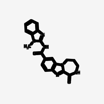 Cn1c(NC(=O)c2ccc3nc4n(c3c2)CCCNC4=O)nc2ccccc21